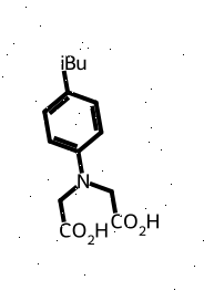 CCC(C)c1ccc(N(CC(=O)O)CC(=O)O)cc1